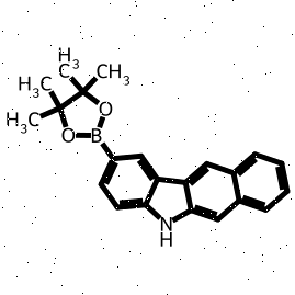 CC1(C)OB(c2ccc3[nH]c4cc5ccccc5cc4c3c2)OC1(C)C